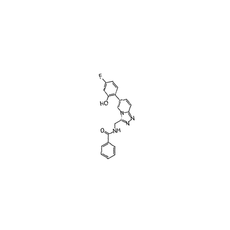 O=C(NCc1nnc2ccc(-c3ccc(F)cc3O)cn12)c1ccccc1